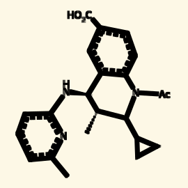 CC(=O)N1c2ccc(C(=O)O)cc2[C@H](Nc2cccc(C)n2)[C@@H](C)C1C1CC1